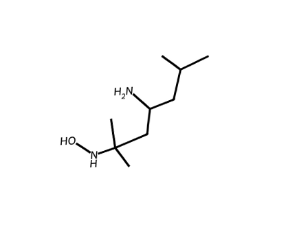 CC(C)CC(N)CC(C)(C)NO